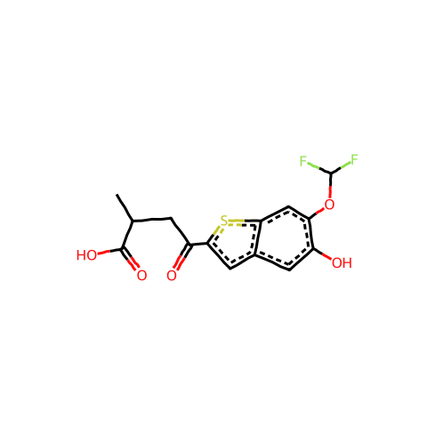 CC(CC(=O)c1cc2cc(O)c(OC(F)F)cc2s1)C(=O)O